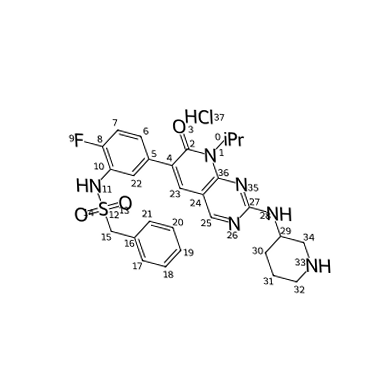 CC(C)n1c(=O)c(-c2ccc(F)c(NS(=O)(=O)Cc3ccccc3)c2)cc2cnc(NC3CCCNC3)nc21.Cl